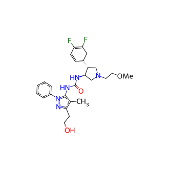 COCCN1C[C@@H](NC(=O)Nc2c(C)c(CCO)nn2-c2ccccc2)[C@H](C2C=CC(F)=C(F)C2)C1